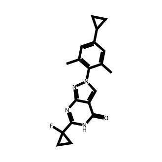 Cc1cc(C2CC2)cc(C)c1-n1cc2c(=O)[nH]c(C3(F)CC3)nc2n1